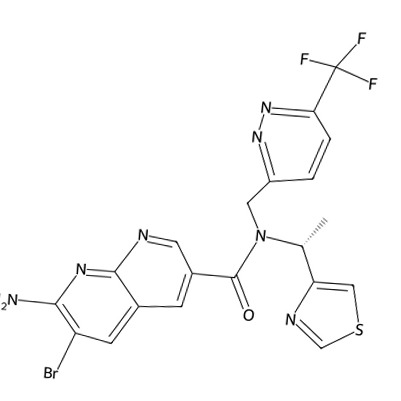 C[C@H](c1cscn1)N(Cc1ccc(C(F)(F)F)nn1)C(=O)c1cnc2nc(N)c(Br)cc2c1